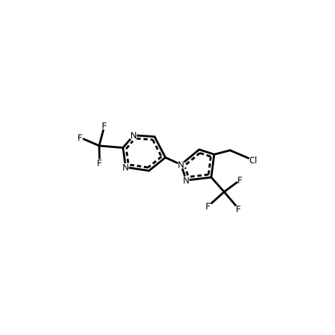 FC(F)(F)c1ncc(-n2cc(CCl)c(C(F)(F)F)n2)cn1